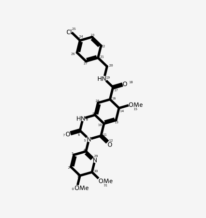 COC1C=CC(n2c(=O)[nH]c3c(c2=O)=CC(OC)C(C(=O)NCc2ccc(Cl)cc2)C=3)=NC1OC